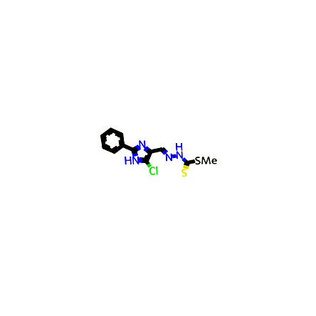 CSC(=S)NN=Cc1nc(-c2ccccc2)[nH]c1Cl